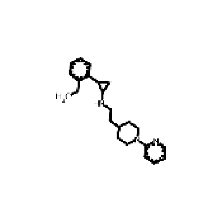 CCc1ccccc1C1CC1NCCC1CCN(c2ccccn2)CC1